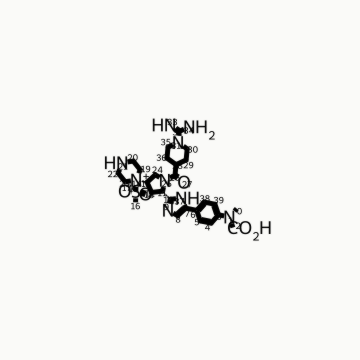 CN(C(=O)O)c1ccc(-c2cnc([C@@H]3C[C@H]([N+]4(S(C)(=O)=O)CCNCC4)CN3C(=O)C3CCN(C(=N)N)CC3)[nH]2)cc1